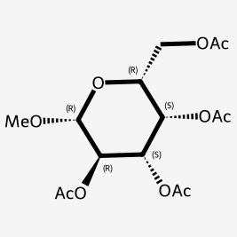 CO[C@@H]1O[C@H](COC(C)=O)[C@H](OC(C)=O)[C@H](OC(C)=O)[C@H]1OC(C)=O